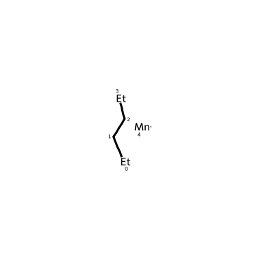 CCCCCC.[Mn]